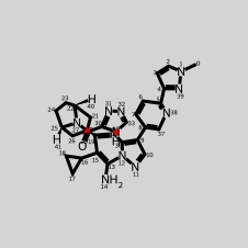 Cn1ccc(-c2ccc(-c3cnn4c(N)c(C5CC5)c([C@@H]5C[C@H]6CC[C@@H](C5)N6C(=O)c5nnc[nH]5)nc34)cn2)n1